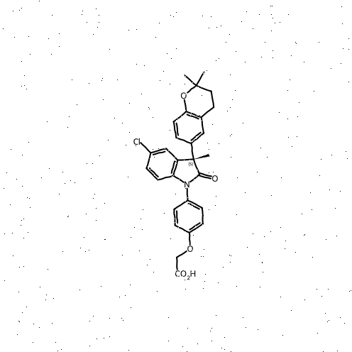 CC1(C)CCc2cc([C@]3(C)C(=O)N(c4ccc(OCC(=O)O)cc4)c4ccc(Cl)cc43)ccc2O1